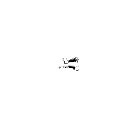 B=O.[Li][F]